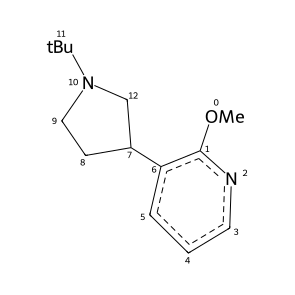 COc1ncccc1C1CCN(C(C)(C)C)C1